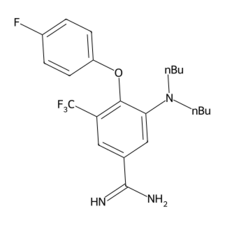 CCCCN(CCCC)c1cc(C(=N)N)cc(C(F)(F)F)c1Oc1ccc(F)cc1